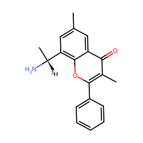 [2H][C@](C)(N)c1cc(C)cc2c(=O)c(C)c(-c3ccccc3)oc12